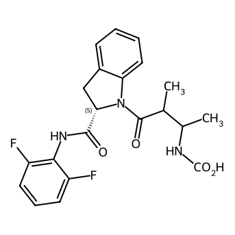 CC(NC(=O)O)C(C)C(=O)N1c2ccccc2C[C@H]1C(=O)Nc1c(F)cccc1F